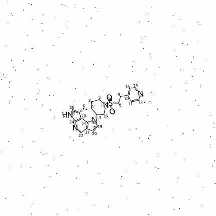 C[C@@H]1CCN(S(=O)(=O)CCc2ccncc2)C[C@@H]1n1ccc2cnc3[nH]ccc3c21